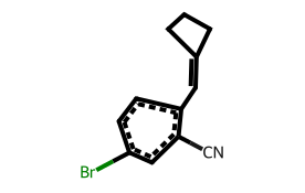 N#Cc1cc(Br)ccc1C=C1CCC1